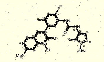 CCn1c(=O)c(-c2cc(NC(=O)Nc3cnn(C(C)(C)C)c3C)c(F)cc2C)cc2cnc(NC)cc21